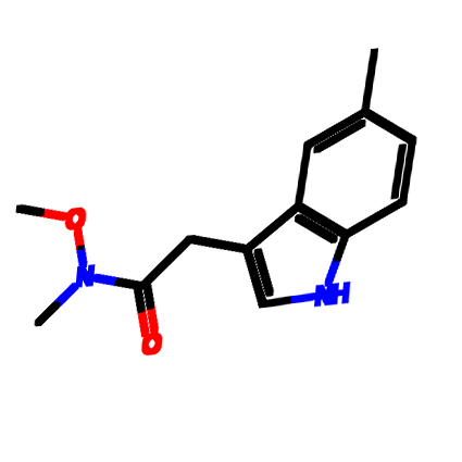 CON(C)C(=O)Cc1c[nH]c2ccc(C)cc12